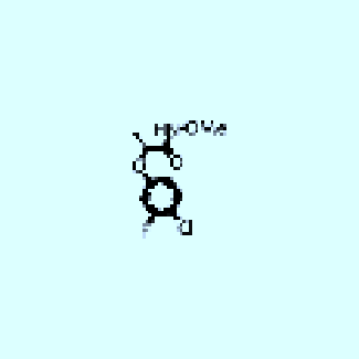 CONC(=O)[C@H](C)Oc1ccc(Cl)c(F)c1